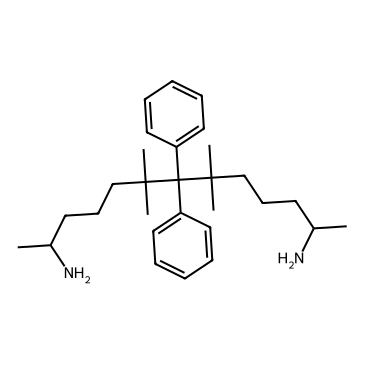 CC(N)CCCC(C)(C)C(c1ccccc1)(c1ccccc1)C(C)(C)CCCC(C)N